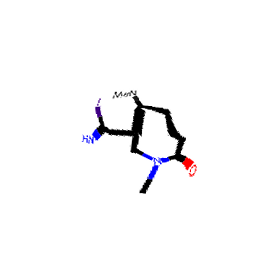 CNC1=C(C(=N)I)CN(C)C(=O)CC1